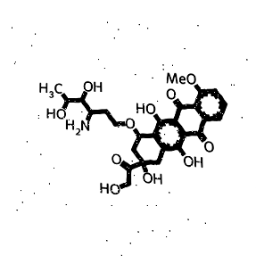 COc1cccc2c1C(=O)c1c(O)c3c(c(O)c1C2=O)CC(O)(C(=O)CO)CC3OCCC(N)C(O)C(C)O